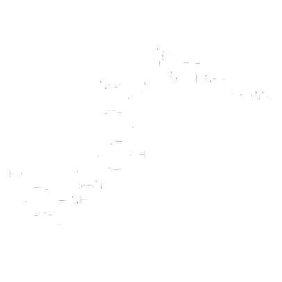 COCCNCc1cnc(C2Cc3nccc(Oc4ccc(NC(=O)Nc5cc(C(F)(F)F)ccc5F)cc4F)c3S2)n1C